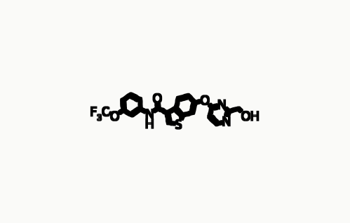 O=C(Nc1cccc(OC(F)(F)F)c1)c1csc2cc(Oc3ccnc(CO)n3)ccc12